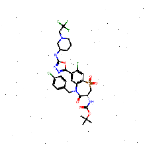 CC(C)(C)OC(=O)N[C@H]1CS(=O)(=O)c2cc(F)c(-c3nnc(NC4CCCN(CC(F)(F)F)C4)o3)cc2N(Cc2ccc(Cl)cc2)C1=O